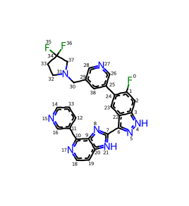 Fc1cc2[nH]nc(-c3nc4c(-c5cccnc5)nccc4[nH]3)c2cc1-c1cncc(CN2CCC(F)(F)C2)c1